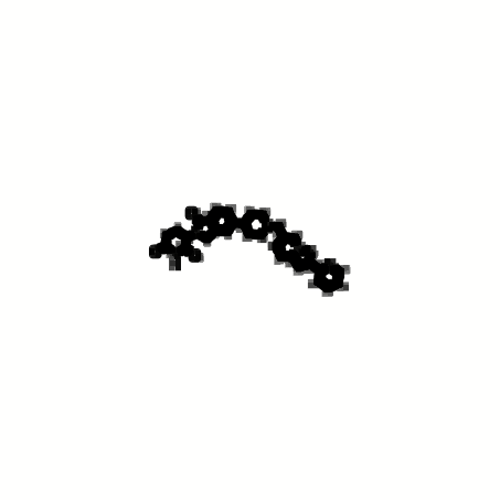 O=C1CCC(N2Cc3cc(C4CCN(Cc5ccc6cc(-c7ccccn7)nn6c5)CC4)ccc3C2=O)C(=O)N1